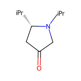 CC(C)[C@H]1CC(=O)CN1C(C)C